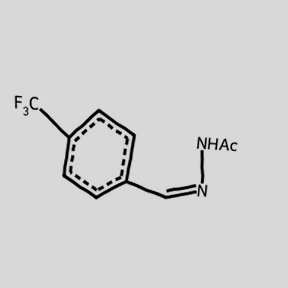 CC(=O)N/N=C\c1ccc(C(F)(F)F)cc1